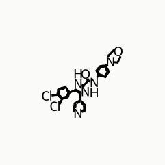 O=C(Nc1ccc(N2CCOCC2)cc1)c1nc(-c2ccncc2)c(-c2ccc(Cl)c(Cl)c2)[nH]1